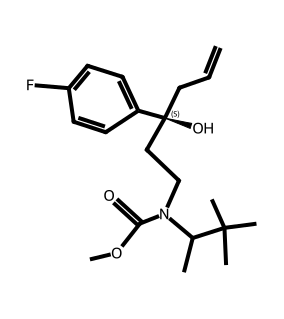 C=CC[C@](O)(CCN(C(=O)OC)C(C)C(C)(C)C)c1ccc(F)cc1